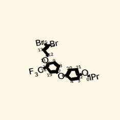 CC(C)Oc1ccc(Oc2ccc(OCC=C(Br)Br)c(C(F)(F)F)c2)cc1